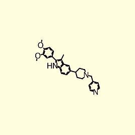 COc1ccc(-c2[nH]c3ccc(C4CCN(Cc5ccncc5)CC4)cc3c2C)cc1OC